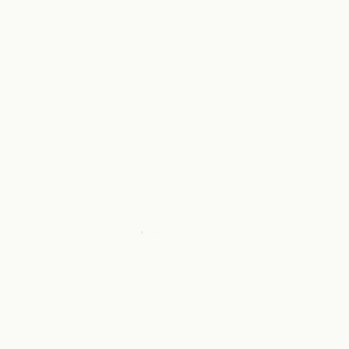 CC(=O)Oc1ccc(CC2c3ccccc3Oc3ccccc32)cc1